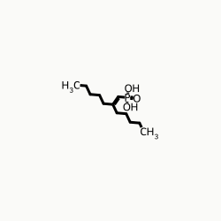 CCCCCC(=CP(=O)(O)O)CCCCC